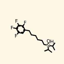 CC(C)[Si](O)(CCCCCCc1cc(F)c(F)c(F)c1F)C(C)C